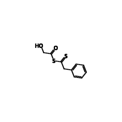 O=C(CO)SC(=S)Cc1ccccc1